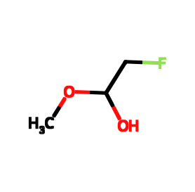 COC(O)CF